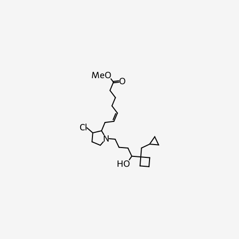 COC(=O)CCC/C=C\CC1C(Cl)CCN1CCCC(O)C1(CC2CC2)CCC1